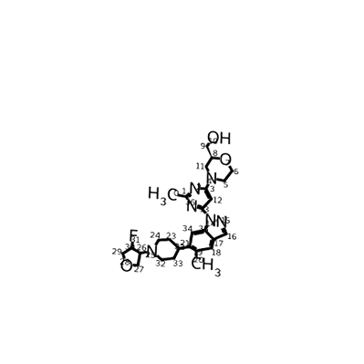 Cc1nc(N2CCO[C@H](CO)C2)cc(-n2ncc3cc(C)c(C4CCN(C5COCC5F)CC4)cc32)n1